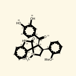 COc1ccccc1[C@H]1CN(C)C2(C(=O)Nc3ccccc32)[C@H]1C(=O)c1ccc(O)c(O)c1